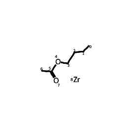 CCCCOC(C)=O.[Zr]